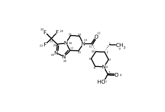 CC[C@@H]1CN(C(=O)O)CC[C@@H]1C(=O)N1CCn2c(nnc2C(F)(F)F)C1